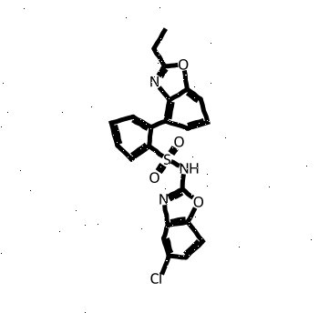 CCc1nc2c(-c3ccccc3S(=O)(=O)Nc3nc4cc(Cl)ccc4o3)cccc2o1